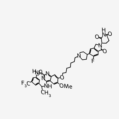 COc1cc2c(NC(C)c3cc(N)cc(C(F)(F)F)c3)nc(C)nc2cc1OCCCCCCCN1CCC(c2cc3c(cc2F)C(=O)N(C2CCC(=O)NC2=O)C3)CC1